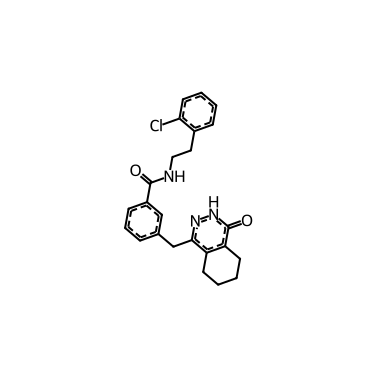 O=C(NCCc1ccccc1Cl)c1cccc(Cc2n[nH]c(=O)c3c2CCCC3)c1